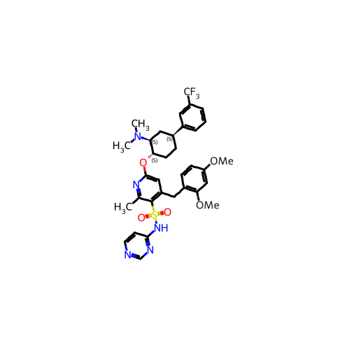 COc1ccc(Cc2cc(O[C@H]3CC[C@H](c4cccc(C(F)(F)F)c4)C[C@@H]3N(C)C)nc(C)c2S(=O)(=O)Nc2ccncn2)c(OC)c1